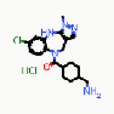 Cl.Cn1ncc2c1Nc1cc(Cl)ccc1N(C(=O)C1CCC(CN)CC1)C2